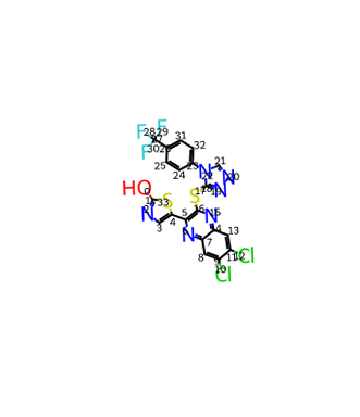 Oc1ncc(-c2nc3cc(Cl)c(Cl)cc3nc2Sc2nncn2-c2ccc(C(F)(F)F)cc2)s1